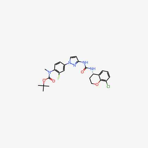 CN(C(=O)OC(C)(C)C)c1ccc(-n2ccc(NC(=O)N[C@H]3CCOc4c(Cl)cccc43)n2)cc1F